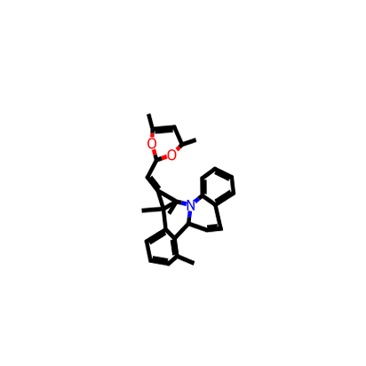 CC1=CC(C)OC(/C=C2/C3(C)c4cccc(C)c4C4C=Cc5ccccc5N4C23C)O1